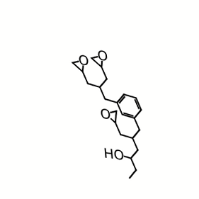 CCC(O)CC(Cc1cccc(CC(CC2CO2)CC2CO2)c1)CC1CO1